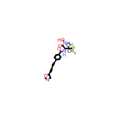 CC(C)(C(F)F)[C@H](NC(=O)c1ccc(C#CC#Cc2cnco2)cc1)C(=O)NO